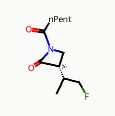 CCCCCC(=O)N1C[C@H](C(C)CF)C1=O